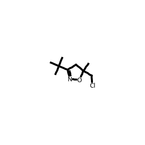 CC1(CCl)CC(C(C)(C)C)=NO1